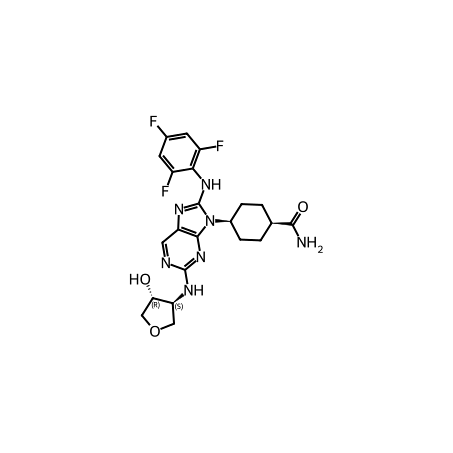 NC(=O)[C@H]1CC[C@@H](n2c(Nc3c(F)cc(F)cc3F)nc3cnc(N[C@H]4COC[C@@H]4O)nc32)CC1